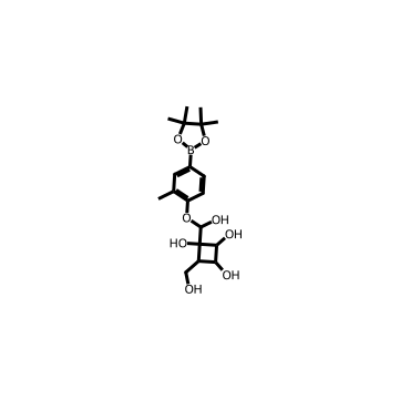 Cc1cc(B2OC(C)(C)C(C)(C)O2)ccc1OC(O)C1(O)C(O)C(O)C1CO